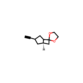 C#CC1CC2[C@H](C1)CC21OCCO1